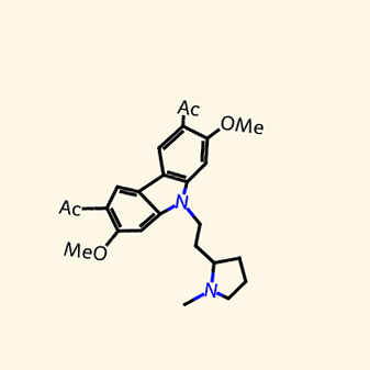 COc1cc2c(cc1C(C)=O)c1cc(C(C)=O)c(OC)cc1n2CCC1CCCN1C